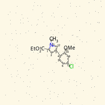 CCOC(=O)c1cc(-c2ccc(Cl)cc2OC)cn1C